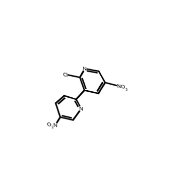 O=[N+]([O-])c1ccc(-c2cc([N+](=O)[O-])cnc2Cl)nc1